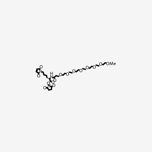 COCCOCCOCCOCCOCCOCCOCCOCCC(=O)N[C@@H](CCCCN1C(=O)C=CC1=O)C(=O)ON1C(=O)CCC1=O